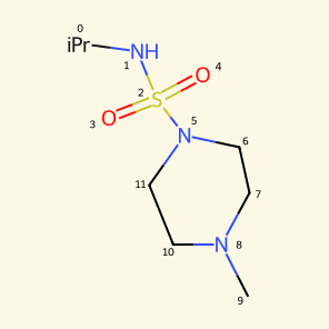 CC(C)NS(=O)(=O)N1CCN(C)CC1